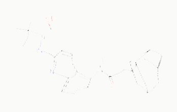 CC(C)(C)[C@H](CO)Nc1ccc2c(NC(=O)CC34CC5CC(CC(C5)C3)C4)cccc2n1